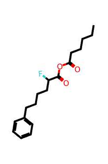 CCCCCC(=O)OC(=O)C(F)CCCCc1ccccc1